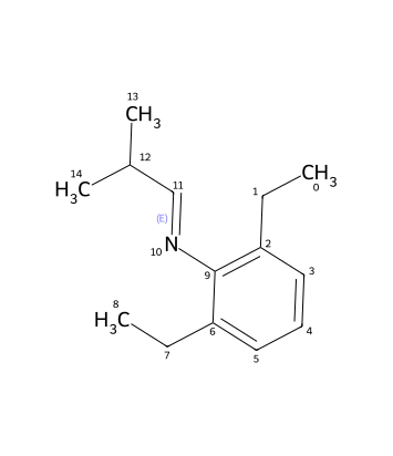 CCc1cccc(CC)c1/N=C/C(C)C